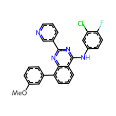 COc1cccc(-c2cccc3c(Nc4ccc(F)c(Cl)c4)nc(-c4cccnc4)nc23)c1